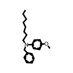 CCCCCCCCN(Cc1ccccc1)c1ccc(OC)cc1